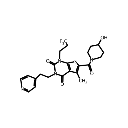 Cc1c(C(=O)N2CCC(O)CC2)sc2c1c(=O)n(CCc1ccncc1)c(=O)n2CCC(F)(F)F